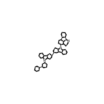 c1ccc(-c2cccc(-n3c4ccccc4c4cc(-c5ccc6c(c5)c5ccccc5n6-c5ccc6c7c(nccc57)-c5ccccc5-6)ccc43)c2)cc1